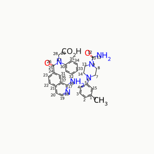 Cc1cccc(N2CCN(C(N)=O)CC2)c1.Nc1nccc2ccc(C(=O)N(CC(=O)O)c3ccccc3)cc12